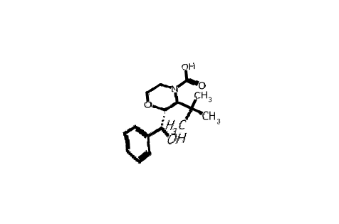 CC(C)(C)C1[C@H](C(O)c2ccccc2)OCCN1C(=O)O